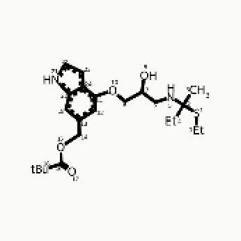 CCSC(C)(CC)NCC(O)COc1cc(COC(=O)C(C)(C)C)cc2[nH]ccc12